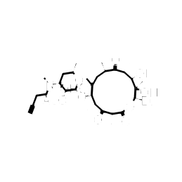 C#CCCN(C)[C@H]1C[C@@H](C)O[C@@H](O[C@@H]2[C@@H](C)C(=O)[C@@H](C)C(=O)O[C@H](CC)[C@@](C)(O)[C@H](O)[C@@H](C)C(=O)[C@H](C)C[C@@]2(C)C=O)[C@@H]1OC(C)=O